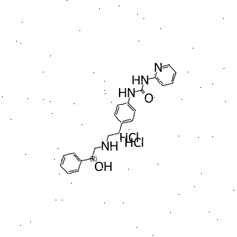 Cl.Cl.O=C(Nc1ccc(CCNC[C@H](O)c2ccccc2)cc1)Nc1ccccn1